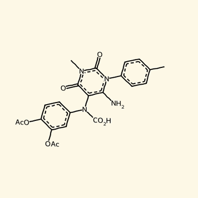 CC(=O)Oc1ccc(N(C(=O)O)c2c(N)n(-c3ccc(C)cc3)c(=O)n(C)c2=O)cc1OC(C)=O